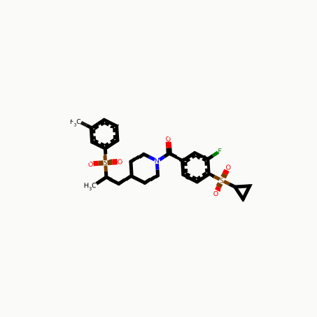 CC(CC1CCN(C(=O)c2ccc(S(=O)(=O)C3CC3)c(F)c2)CC1)S(=O)(=O)c1cccc(C(F)(F)F)c1